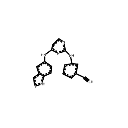 C#Cc1cccc(Nc2nccc(Nc3ccc4[nH]ncc4c3)n2)c1